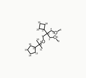 COCC(COC)(COC(C)(C)C1CCCC1)C1CCC1